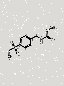 CC(C)(C)OC(=O)NCc1ccc(S(=O)(=O)CC#N)cc1